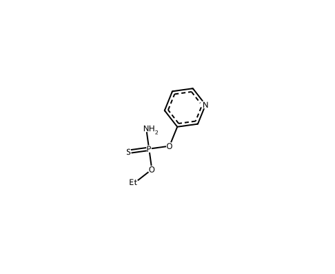 CCOP(N)(=S)Oc1cccnc1